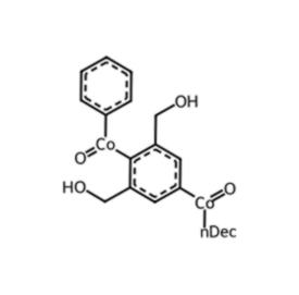 CCCCCCCCC[CH2][Co](=[O])[c]1cc(CO)[c]([Co](=[O])[c]2ccccc2)c(CO)c1